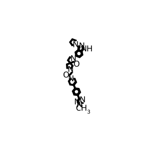 Cn1cnc(-c2ccc(C3=CCN(C(=O)CN4CCC5(CCN(c6ccc7[nH]nc(N8CCCC8)c7c6)C5=O)C4)CC3)cc2)n1